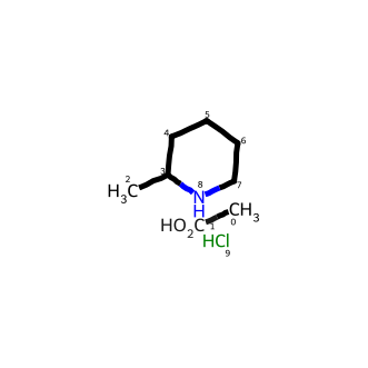 CC(=O)O.CC1CCCCN1.Cl